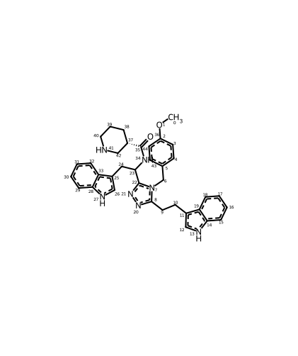 COc1ccc(Cn2c(CCc3c[nH]c4ccccc34)nnc2C(Cc2c[nH]c3ccccc23)NC(=O)[C@H]2CCCNC2)cc1